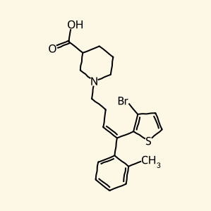 Cc1ccccc1C(=CCCN1CCCC(C(=O)O)C1)c1sccc1Br